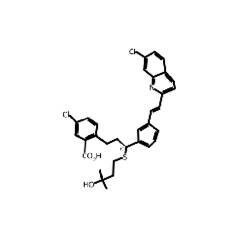 CC(C)(O)CCS[C@@H](CCc1ccc(Cl)cc1C(=O)O)c1cccc(C=Cc2ccc3ccc(Cl)cc3n2)c1